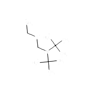 CC(C)(C)N(COC[SiH3])C(C)(C)C